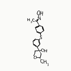 C/C(=N\O)c1ccc(Sc2cccc([C@@]3(O)CCO[C@@H](C)C3)c2)cc1